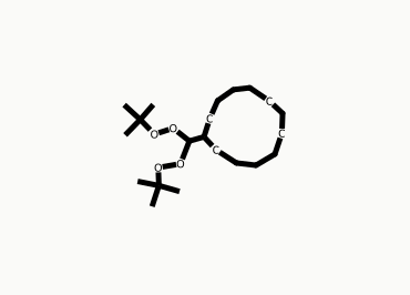 CC(C)(C)OOC(OOC(C)(C)C)C1CCCCCCCCCCC1